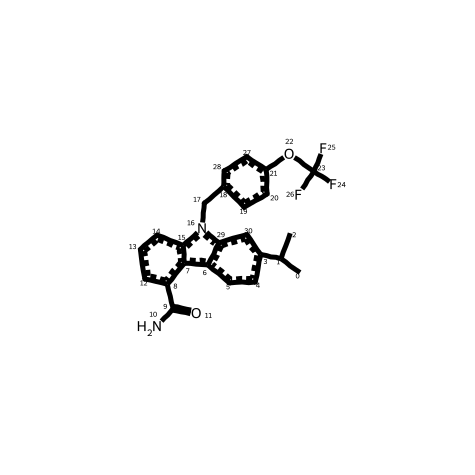 CC(C)c1c[c]c2c3c(C(N)=O)cccc3n(Cc3ccc(OC(F)(F)F)cc3)c2c1